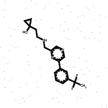 CC(F)(F)c1cccc(-c2cncc(CNCCC3(O)CC3)n2)c1